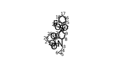 O=C1N(CC2CC2)c2ccc(S(=O)(=O)c3ccccc3F)cc2C12OCCCO2